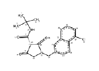 CC(C)(C)NC(=O)[C@H]1C(=O)CN(Cc2ccc3c(Cl)ccnc3c2)C1=O